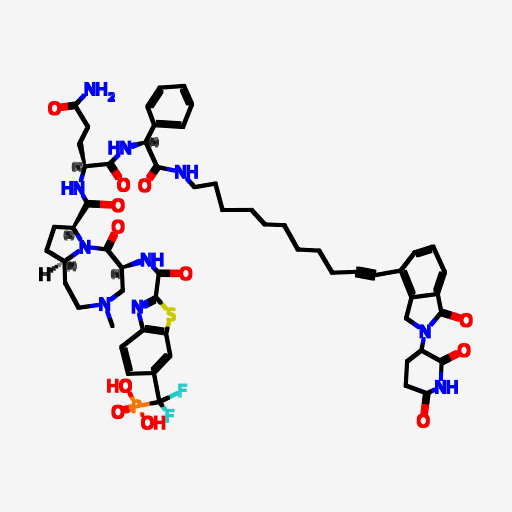 CN1CC[C@H]2CC[C@@H](C(=O)N[C@@H](CCC(N)=O)C(=O)N[C@H](C(=O)NCCCCCCCCCC#Cc3cccc4c3CN(C3CCC(=O)NC3=O)C4=O)c3ccccc3)N2C(=O)[C@@H](NC(=O)c2nc3ccc(C(F)(F)P(=O)(O)O)cc3s2)C1